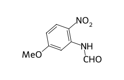 COc1ccc([N+](=O)[O-])c(NC=O)c1